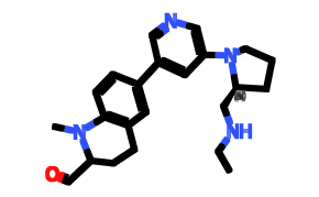 CCNC[C@@H]1CCCN1c1cncc(-c2ccc3c(c2)CCC(C=O)N3C)c1